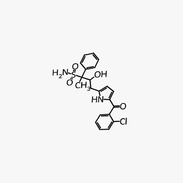 CC(c1ccccc1)(C(O)Cc1ccc(C(=O)c2ccccc2Cl)[nH]1)S(N)(=O)=O